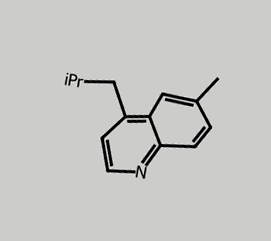 Cc1ccc2nccc(CC(C)C)c2c1